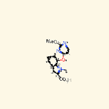 COc1nccc(Oc2cccc3cc(C(=O)O)n(C)c23)n1